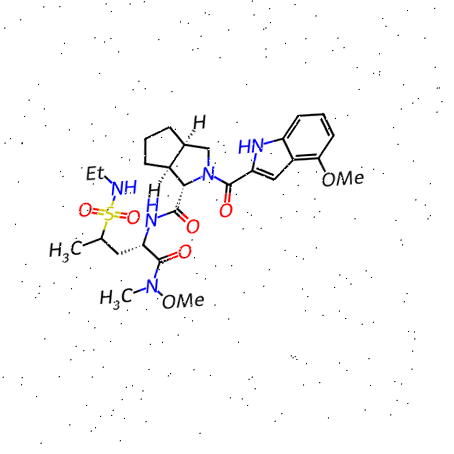 CCNS(=O)(=O)C(C)C[C@H](NC(=O)[C@@H]1[C@H]2CCC[C@H]2CN1C(=O)c1cc2c(OC)cccc2[nH]1)C(=O)N(C)OC